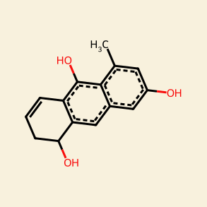 Cc1cc(O)cc2cc3c(c(O)c12)C=CCC3O